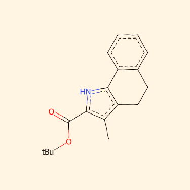 Cc1c(C(=O)OC(C)(C)C)[nH]c2c1CCc1ccccc1-2